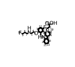 Cc1c(OCCNCCCF)ccc(F)c1[C@@H]1c2[nH]c3ccccc3c2C[C@@H](C)N1CCC(=O)O